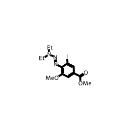 CCN(CC)/N=N/c1c(I)cc(C(=O)OC)cc1OC